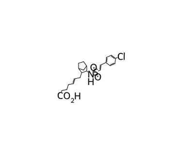 O=C(O)CCCC=CCC1C2CCC(C2)C1NS(=O)(=O)C=Cc1ccc(Cl)cc1